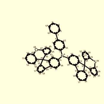 c1ccc(-c2ccc(N(c3ccc4c(c3)-c3ccccc3C43c4ccccc4Sc4ccccc43)c3ccc4c(c3)C3(c5ccccc5Oc5ccccc53)c3ccccc3-4)cc2)cc1